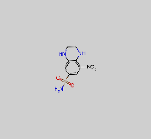 NS(=O)(=O)c1cc2c(c([N+](=O)[O-])c1)NCCN2